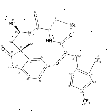 CC(C)(C)C[C@H](NC(=O)C(=O)Nc1ccc(C(F)(F)F)cc1C(F)(F)F)C(=O)N1C[C@]2(C[C@H]1C#N)C(=O)Nc1ccccc12